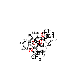 C[SiH](C)O[Si](O[Si](C)(C)O[Si](O[SiH](C)C)(c1ccccc1)c1ccccc1)(c1ccccc1)c1ccccc1